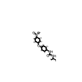 CC(C)NC(=O)Nc1ccc(Oc2ccc([N+](=O)[O-])cc2)cc1